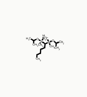 CCCCCC([Si](C)(C)OC(C)C)[Si](C)(C)OC(C)C